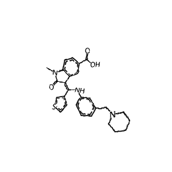 CN1C(=O)C(=C(Nc2cccc(CN3CCCCC3)c2)c2ccsc2)c2cc(C(=O)O)ccc21